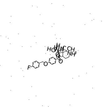 CC1(C)NCCC(S(=O)(=O)c2ccc(OCc3ccc(F)cc3)cc2)C1(N)C(=O)NO